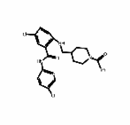 CC(C)C(=O)N1CCC(CNc2ccc(Cl)cc2C(=O)Nc2ccc(Cl)cn2)CC1